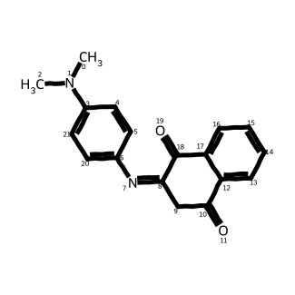 CN(C)c1ccc(N=C2CC(=O)c3ccccc3C2=O)cc1